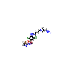 NCC1CN(CCCCNc2cc(F)c(S(=O)(=O)Nc3nccs3)cc2Cl)C1